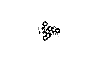 CC1(C)c2ccccc2Oc2cccc(-c3ccc4ccccc4c3C(=N)OC(=N)c3ccccc3)c21